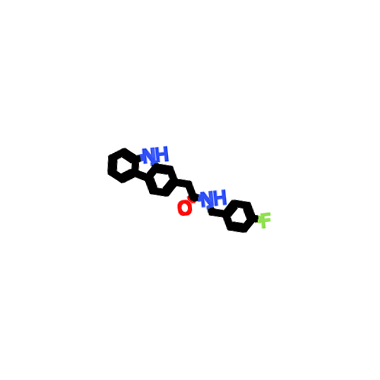 O=C(Cc1ccc2c(c1)[nH]c1ccccc12)NCc1ccc(F)cc1